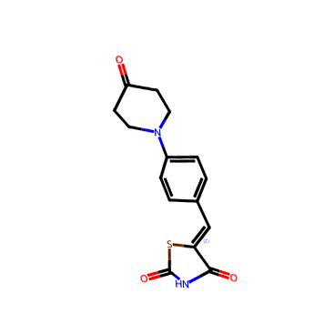 O=C1CCN(c2ccc(/C=C3\SC(=O)NC3=O)cc2)CC1